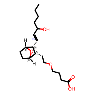 CCCCC(O)/C=C/[C@@H]1[C@H](CCOCCCC(=O)O)[C@@H]2CC[C@H]1O2